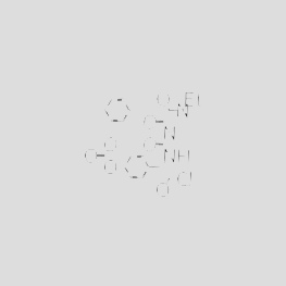 CCN1CCN(C(=O)NC(C(=O)Cl)c2ccc(OC(=O)OCc3ccccc3)cc2)C(=O)C1=O